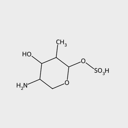 CC1C(OS(=O)(=O)O)OCC(N)C1O